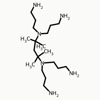 CC(C)(CC(C)(C)N(CCCN)CCCN)N(CCCN)CCCN